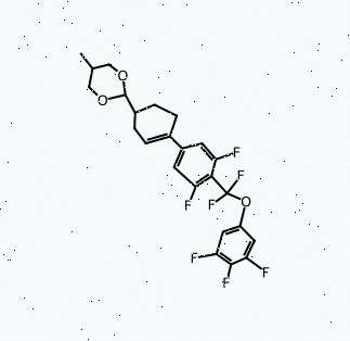 CC1COC(C2CC=C(c3cc(F)c(C(F)(F)Oc4cc(F)c(F)c(F)c4)c(F)c3)CC2)OC1